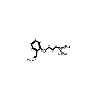 C=Cc1ccccc1OCCCN(C(C)(C)C)C(C)(C)C